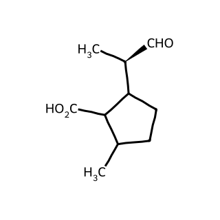 CC1CCC([C@@H](C)C=O)C1C(=O)O